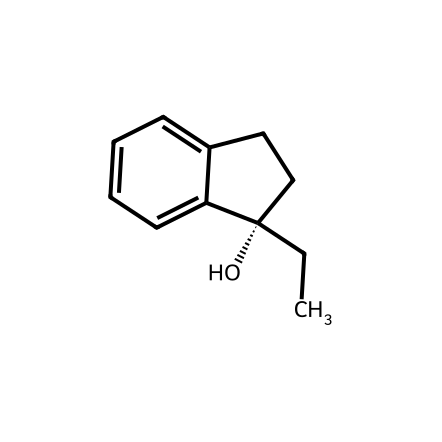 CC[C@]1(O)CCc2ccccc21